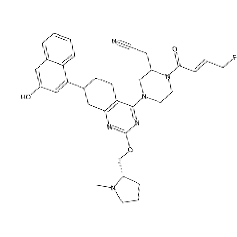 CN1CCC[C@H]1COc1nc2c(c(N3CCN(C(=O)/C=C/CF)C(CC#N)C3)n1)CCC(c1cc(O)cc3ccccc13)C2